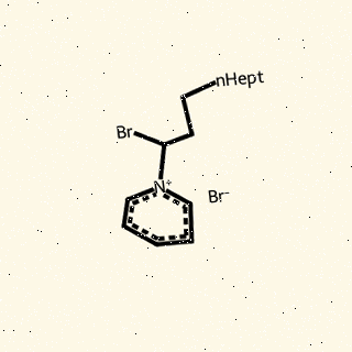 CCCCCCCCCC(Br)[n+]1ccccc1.[Br-]